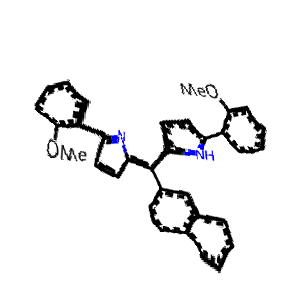 COc1ccccc1C1=N/C(=C(/c2ccc3ccccc3c2)c2ccc(-c3ccccc3OC)[nH]2)C=C1